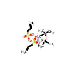 C=CCS(=O)(=O)OS(=O)(=O)CC=C.C[Si](C)(C)[B][Si](C)(C)C